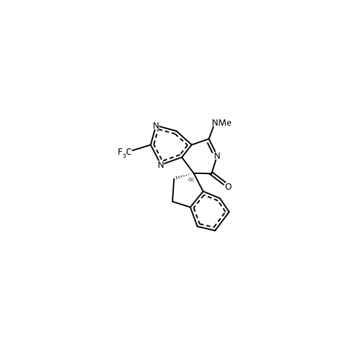 CNC1=NC(=O)[C@]2(CCc3ccccc32)c2nc(C(F)(F)F)ncc21